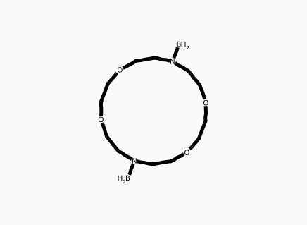 BN1CCOCCOCCN(B)CCOCCOCC1